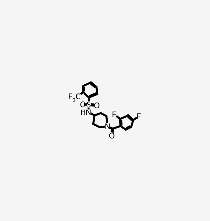 O=C(c1ccc(F)cc1F)N1CCC(NS(=O)(=O)c2ccccc2C(F)(F)F)CC1